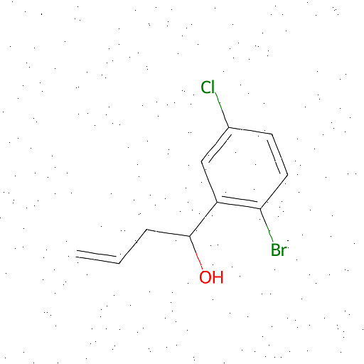 C=CCC(O)c1cc(Cl)ccc1Br